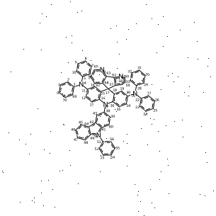 c1ccc(N(c2ccccc2)c2ccc3c(c2)C2(c4cc(N(c5ccccc5)c5ccccc5)ccc4N3c3ccc4c(c3)c3ccccc3n4-c3ccccc3)c3cccnc3-c3ncccc32)cc1